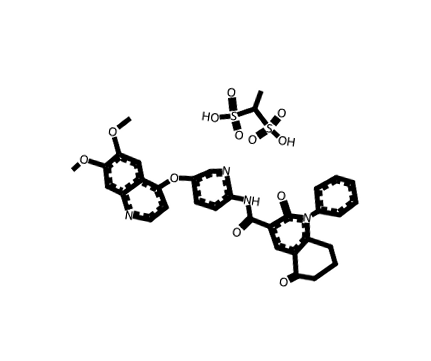 CC(S(=O)(=O)O)S(=O)(=O)O.COc1cc2nccc(Oc3ccc(NC(=O)c4cc5c(n(-c6ccccc6)c4=O)CCCC5=O)nc3)c2cc1OC